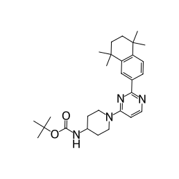 CC(C)(C)OC(=O)NC1CCN(c2ccnc(-c3ccc4c(c3)C(C)(C)CCC4(C)C)n2)CC1